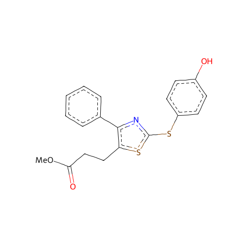 COC(=O)CCc1sc(Sc2ccc(O)cc2)nc1-c1ccccc1